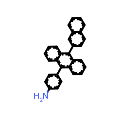 Nc1ccc(-c2c3ccccc3c(-c3ccc4ccccc4c3)c3ccccc23)cc1